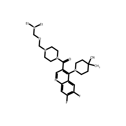 CCN(CC)COCN1CCN(C(=O)c2cnc3cc(F)c(F)cc3c2N2CCC(C)(C#N)CC2)CC1